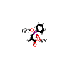 CCCOP(=O)(CC(C)C(=O)OC(C)C)c1ccccc1